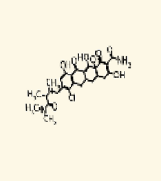 C[C@H](C(=O)N(C)C)N(C)Cc1cc(O)c2c(c1Cl)CC1CC3CC(O)=C(C(N)=O)C(=O)C3(O)C(O)=C1C2=O